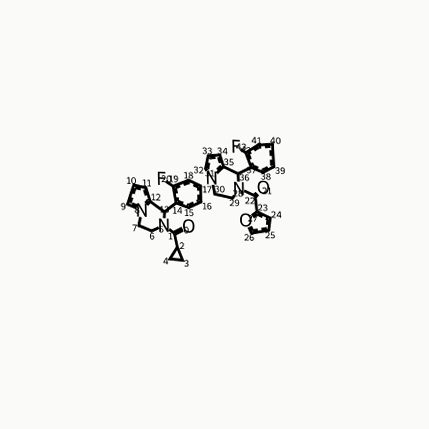 O=C(C1CC1)N1CCn2cccc2C1c1ccccc1F.O=C(c1ccco1)N1CCn2cccc2C1c1ccccc1F